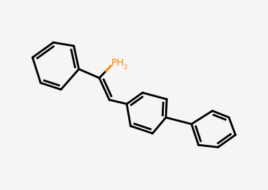 PC(=Cc1ccc(-c2ccccc2)cc1)c1ccccc1